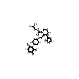 O=C(OCC(F)F)N1CCCC(c2ccn[nH]2)C1CO[C@H]1CC[C@@H](c2c(F)ccc(F)c2F)CC1